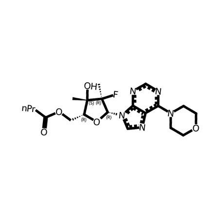 CCCC(=O)OC[C@H]1O[C@@H](n2cnc3c(N4CCOCC4)ncnc32)[C@](C)(F)[C@@]1(C)O